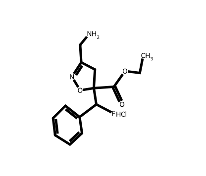 CCOC(=O)C1(C(F)c2ccccc2)CC(CN)=NO1.Cl